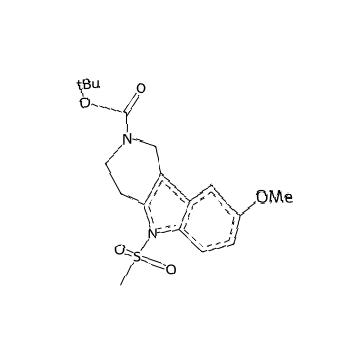 COc1ccc2c(c1)c1c(n2S(C)(=O)=O)CCN(C(=O)OC(C)(C)C)C1